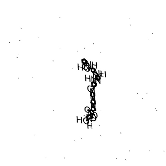 O=C1NC(O)CCC1N1C(=O)c2ccc(N3CCC(N4CCN(C(=O)Cc5ccc(Nc6ncc(F)c(Nc7ccc(C(O)Nc8ccccc8Cl)cc7)n6)cc5)CC4)CC3)cc2C1=O